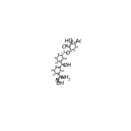 CC(=O)c1ccc(OCc2cccc(C(O)c3cccc(/C(N)=N/O)c3)c2)c(Cl)c1O